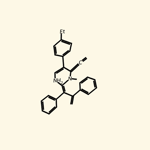 C=C=C(/C(=C\N)c1ccc(CC)cc1)N(C)/C(C)=C(\C(=C)c1ccccc1)c1ccccc1